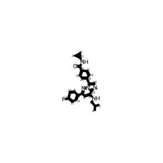 CC(C)CNc1cc(-c2ccc(F)cc2)nn2c(-c3ccc(C(=O)NC4CC4)cc3)cnc12